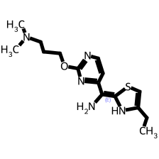 CCC1=CS/C(=C(/N)c2ccnc(OCCCN(C)C)n2)N1